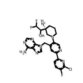 Nc1ncnc2c1ncn2Cc1cc(-c2ccc(F)c(Cl)n2)ncc1N1CCC[C@](N)(C(O)C(F)F)C1